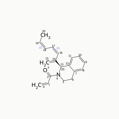 C=CC(=O)N1CCc2ccccc2[C@@H]1C(=C)/C=C\C=C/C